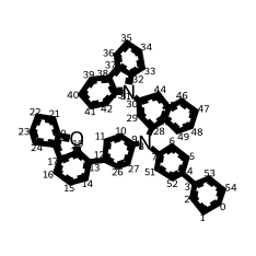 c1ccc(-c2ccc(N(c3ccc(-c4cccc5c4oc4ccccc45)cc3)c3cc(-n4c5ccccc5c5ccccc54)cc4ccccc34)cc2)cc1